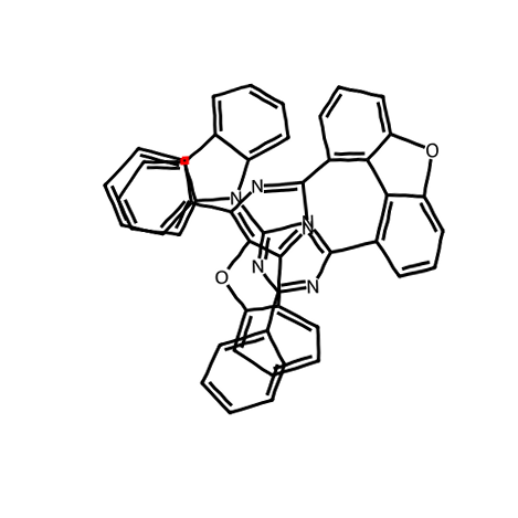 c1ccc(-c2nc(-c3cccc4oc5cccc(-c6nc(-c7ccccc7)c7oc8ccccc8c7n6)c5c34)nc(-n3c4ccccc4c4ccccc43)n2)cc1